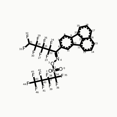 O=S(=O)(ON=C(c1ccc2c(c1)-c1cccc3cccc-2c13)C(F)(F)C(F)(F)C(F)(F)C(F)F)C(F)(F)C(F)(F)C(F)(F)C(F)(F)F